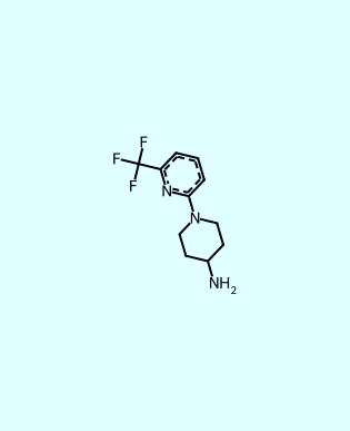 NC1CCN(c2cccc(C(F)(F)F)n2)CC1